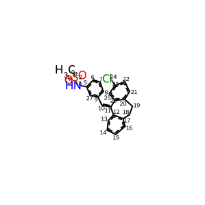 CS(=O)(=O)Nc1cccc(/C=C2/c3ccccc3CCc3ccc(Cl)cc32)c1